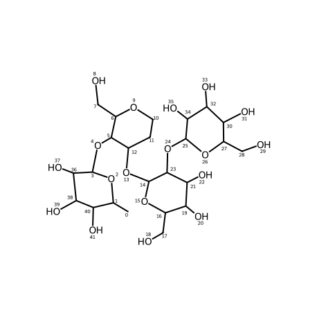 CC1OC(OC2C(CO)OCCC2OC2OC(CO)C(O)C(O)C2OC2OC(CO)C(O)C(O)C2O)C(O)C(O)C1O